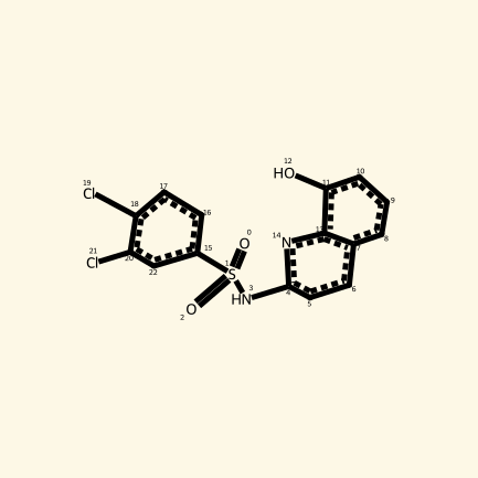 O=S(=O)(Nc1ccc2cccc(O)c2n1)c1ccc(Cl)c(Cl)c1